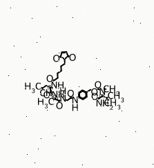 CC(C)C[C@@H](NC(=O)CCCCCC1C(=O)C=CC1=O)C(=O)N[C@@H](C)C(=O)NCC(=O)Nc1ccc(COC(=O)N(C)[C@H](C(N)=O)C(C)C)cc1